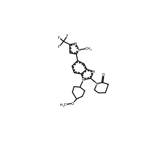 COC1CCC(n2c(N3CCCCC3=O)nc3cc(-c4cc(C(F)(F)F)nn4C)ccc32)CC1